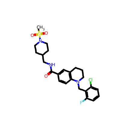 CS(=O)(=O)N1CCC(CNC(=O)c2ccc3c(c2)CCCN3Cc2c(F)cccc2Cl)CC1